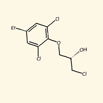 CCc1cc(Cl)c(OC[C@H](O)CCl)c(Cl)c1